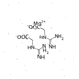 N=C(N)NCC(=O)[O-].N=C(N)NCC(=O)[O-].[Mg+2]